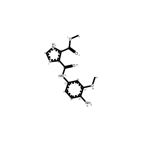 COC(=O)c1[nH]cnc1C(=O)Nc1ccc(N)c(OC)c1